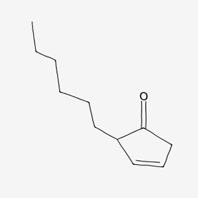 CCCCCCC1C=CCC1=O